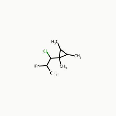 CC(C)C(C)C(Cl)C1(C)C(C)C1C